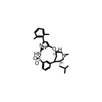 Cc1cccc(C)c1-c1cc2nc(n1)NS(=O)(=O)c1cccc(c1)C1C[C@@H](CN(C)C[C@@H]1CC(C)C)O2